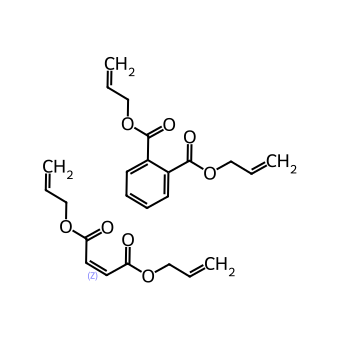 C=CCOC(=O)/C=C\C(=O)OCC=C.C=CCOC(=O)c1ccccc1C(=O)OCC=C